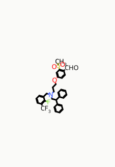 CS(=O)(=O)c1cc(OCCCN(Cc2cccc(C(F)(F)F)c2F)CC(c2ccccc2)c2ccccc2)ccc1C=O